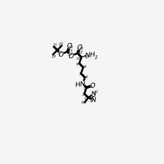 CC1(CC(=O)NCCCC[C@H](N)C(=O)OC(=O)OC(C)(C)C)N=N1